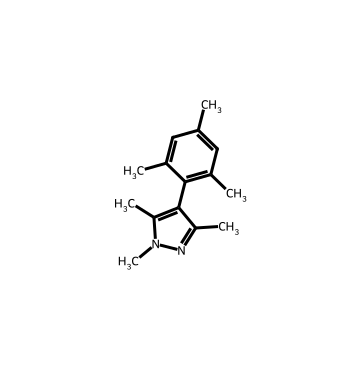 Cc1cc(C)c(-c2c(C)nn(C)c2C)c(C)c1